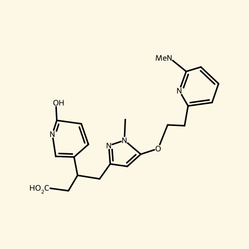 CNc1cccc(CCOc2cc(CC(CC(=O)O)c3ccc(O)nc3)nn2C)n1